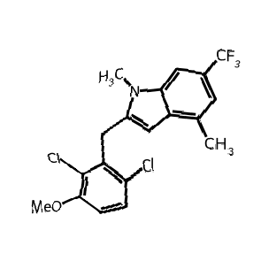 COc1ccc(Cl)c(Cc2cc3c(C)cc(C(F)(F)F)cc3n2C)c1Cl